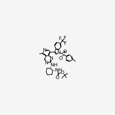 Cc1ccc(S(=O)(=O)n2cc(-c3cnc(C)c4cnc(N[C@H]5CCCC[C@H]5NC(=O)OC(C)(C)C)nc34)c3ccc(C(F)(F)F)cc32)cc1